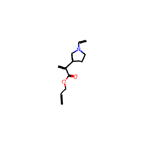 C=CCOC(=O)C(=C)C1CCN(C=C)C1